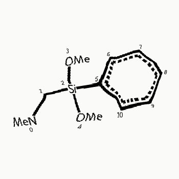 CNC[Si](OC)(OC)c1ccccc1